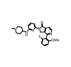 COc1cccc(F)c1-c1nccc2c1CN(c1cccc(NC3CCN(C)CC3)n1)C2=O